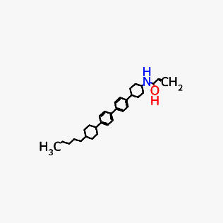 C=CC(O)NC1CCC(c2ccc(-c3ccc(C4CCC(CCCCC)CC4)cc3)cc2)CC1